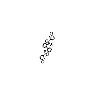 COc1cccc([C@@H]2Oc3cccc(-c4cccc5c4[P@@](C(C)(C)C)[C@H](c4cccc(OC)n4)O5)c3[P@@]2C)n1